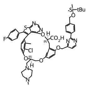 Cc1c2ccc(c1Cl)O[C@H](CN1CCN(C)CC1)COc1ccc(OCc3ccnc(-c4ccc(CO[Si](C)(C)C(C)(C)C)cc4)n3)c(c1)C[C@H](C(=O)O)Oc1ncnc3sc(-c4ccc(F)cc4)c-2c13